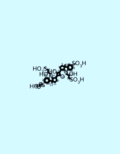 CC12CCC(C3=C(O)/C(=C4/CCC5(C)C4=[N+](CC(O)CS(=O)(=O)O)c4ccc(SOOO)cc45)C3=O)=C1N(CC(O)CS(=O)(=O)O)c1ccc(S(=O)(=O)O)cc12